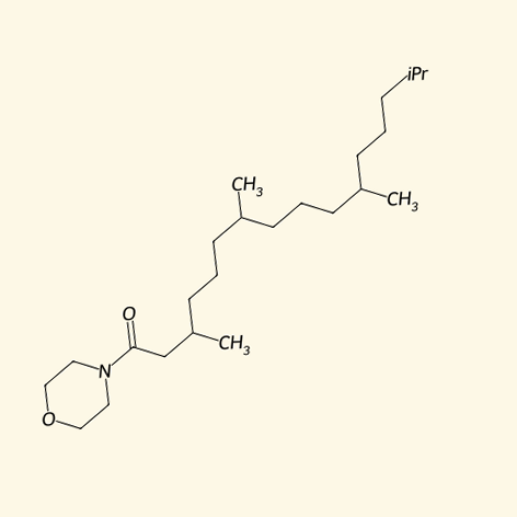 CC(C)CCCC(C)CCCC(C)CCCC(C)CC(=O)N1CCOCC1